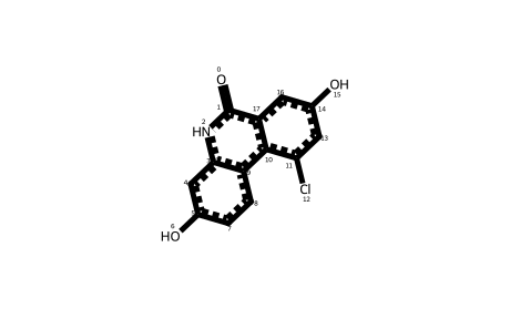 O=c1[nH]c2cc(O)ccc2c2c(Cl)cc(O)cc12